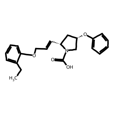 CCc1ccccc1OCC=C[C@@H]1C[C@H](Oc2ccccc2)CN1C(=O)O